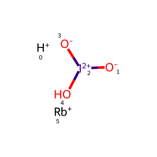 [H+].[O-][I+2]([O-])O.[Rb+]